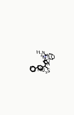 CC(c1ccc(-c2ccccc2)cc1)c1cc(/N=C(/N)N2CCOCC2)on1.CS(=O)(=O)O